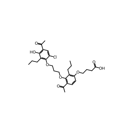 CCCc1c(O)c(C(C)=O)cc(Cl)c1OCCCOc1c(C(C)=O)ccc(OCCCC(=O)O)c1CCC